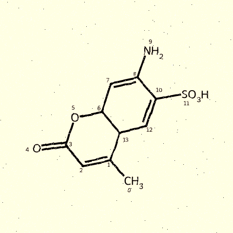 CC1=CC(=O)OC2C=C(N)C(S(=O)(=O)O)=CC12